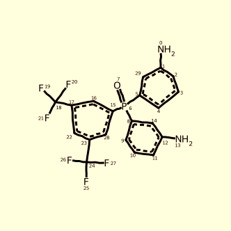 Nc1cccc(P(=O)(c2cccc(N)c2)c2cc(C(F)(F)F)cc(C(F)(F)F)c2)c1